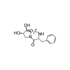 O=C(O)NC(Cc1ccccc1)C(=O)N1C[C@@H](O)[C@@H](O)C1